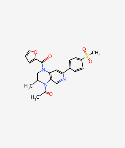 CC(=O)N1c2cnc(-c3ccc(S(C)(=O)=O)cc3)cc2N(C(=O)c2ccco2)CC1C